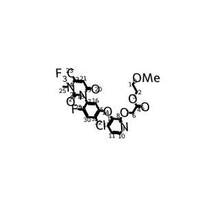 COCCOC(=O)COc1ncccc1Oc1cc(-n2c(=O)cc(C(F)(F)F)n(C)c2=O)c(F)cc1Cl